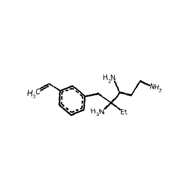 C=Cc1cccc(CC(N)(CC)C(N)CCN)c1